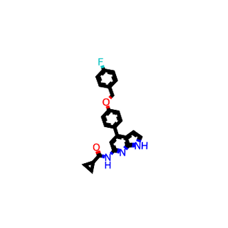 O=C(Nc1cc(-c2ccc(OCc3ccc(F)cc3)cc2)c2cc[nH]c2n1)C1CC1